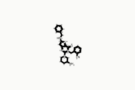 N#Cc1ccccc1Cn1c(N2CCCC(N)C2)nc2cc(NCc3ccccc3)sc2c1=O